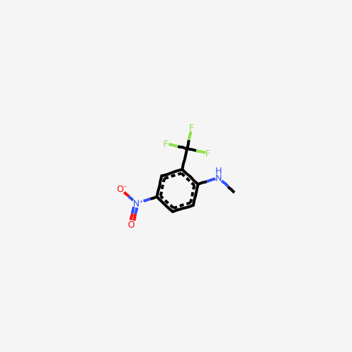 CNc1ccc([N+](=O)[O-])cc1C(F)(F)F